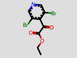 CCOC(=O)C(=O)c1c(Br)cncc1Br